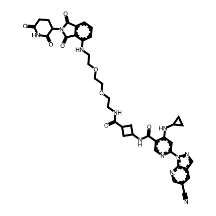 N#Cc1cnc2c(cnn2-c2cc(NC3CC3)c(C(=O)NC3CC(C(=O)NCCOCCOCCNc4cccc5c4C(=O)N(C4CCC(=O)NC4=O)C5=O)C3)cn2)c1